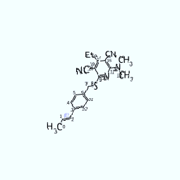 C/C=C/c1ccc(CSc2nc(N(C)C)c(C#N)c(CC)c2C#N)cc1